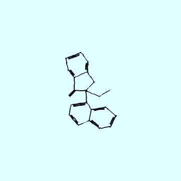 CCC1(c2cccc3ccccc23)Cc2ccccc2C1=O